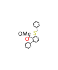 COC(=O)c1c(SCc2ccccc2)cccc1-c1ccccc1